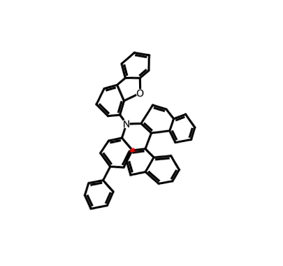 c1ccc(-c2ccc(N(c3ccc4ccccc4c3-c3cccc4ccccc34)c3cccc4c3oc3ccccc34)cc2)cc1